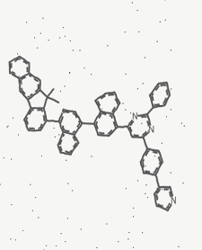 CC1(C)c2cc3ccccc3cc2-c2cccc(-c3ccc(-c4ccc(-c5cc(-c6ccc(-c7cccnc7)cc6)nc(-c6ccccc6)n5)c5ccccc45)c4ccccc34)c21